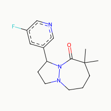 CC1(C)CCCN2CCC(c3cncc(F)c3)N2C1=O